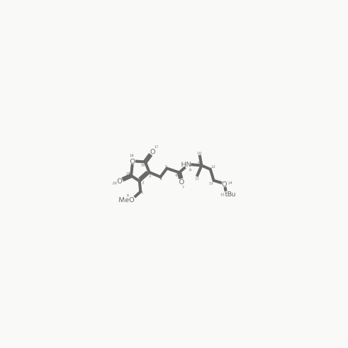 COCC1=C(CCC(=O)NC(C)(C)CCOC(C)(C)C)C(=O)OC1=O